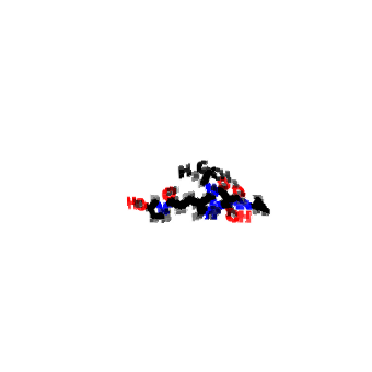 CC(C)Cn1c(=O)c(C(=O)NC2CC2)c(O)n2ncc(C=CC(=O)N3CCC(O)C3)c12